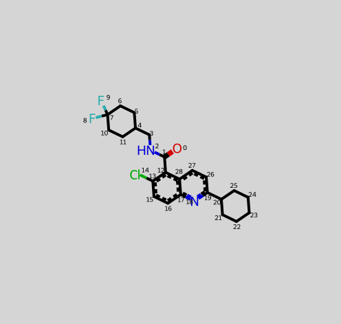 O=C(NCC1CCC(F)(F)CC1)c1c(Cl)ccc2nc(C3CCCCC3)ccc12